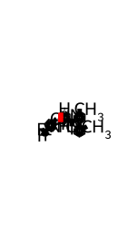 Cc1ccc(-c2ncccc2C)c(C(=O)N2C[C@@H]3CC[C@H]2[C@H](Oc2ccc(C(F)(F)F)cn2)C3)n1